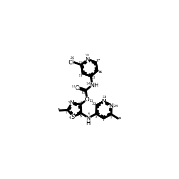 Cc1cc(Nc2sc(C)nc2OC(=O)Nc2ccnc(Cl)c2)cnn1